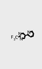 FC(F)(F)c1ncc(-c2ccccn2)cn1